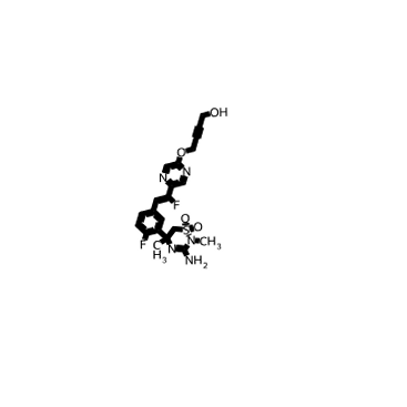 CN1C(N)=NC(C)(c2cc(C=C(F)c3cnc(OCC#CCO)cn3)ccc2F)CS1(=O)=O